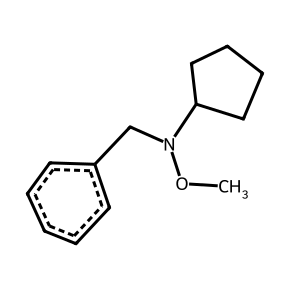 CON(Cc1ccccc1)C1CCCC1